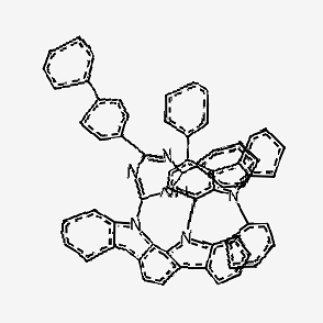 c1ccc(-c2ccc(C3=NC(c4ccccc4)NC(n4c5ccccc5c5ccc6c7ccccc7n(-c7ccc(-c8ccccc8)c8c9ccccc9n(-c9ccccc9)c78)c6c54)=N3)cc2)cc1